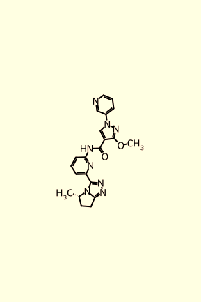 COc1nn(-c2cccnc2)cc1C(=O)Nc1cccc(-c2nnc3n2[C@@H](C)CC3)n1